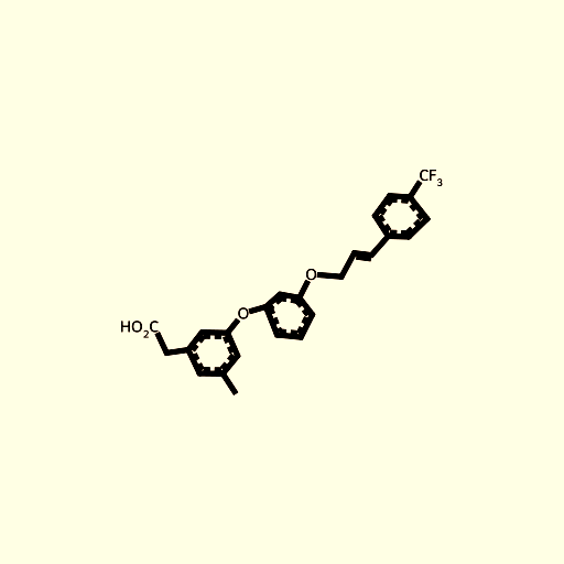 Cc1cc(CC(=O)O)cc(Oc2cccc(OCC=Cc3ccc(C(F)(F)F)cc3)c2)c1